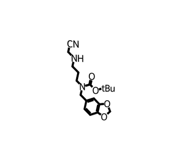 CC(C)(C)OC(=O)N(CCCNCC#N)Cc1ccc2c(c1)OCO2